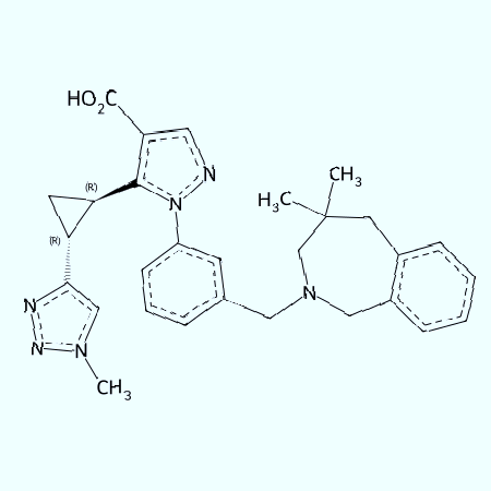 Cn1cc([C@@H]2C[C@H]2c2c(C(=O)O)cnn2-c2cccc(CN3Cc4ccccc4CC(C)(C)C3)c2)nn1